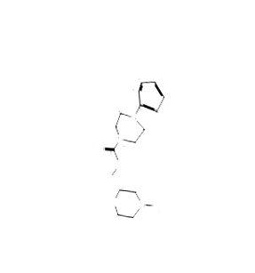 O=C(O)N1CCO[C@H](COC(=O)N2CCN(c3ccccc3)CC2)C1